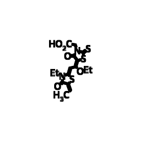 C/C=c1/sc(=C/C(OCC)=C2/SC(=S)N(CC(=O)O)C2=O)n(CC)c1=O